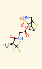 C=C(C(=O)NCC(=O)OC1C2CC3C(S2)C1NS3(=O)=O)C(F)(F)F